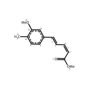 COC(=O)/C=C\C=C\c1ccc(C)c(OC)c1